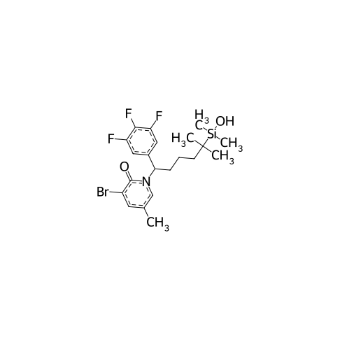 Cc1cc(Br)c(=O)n(C(CCCC(C)(C)[Si](C)(C)O)c2cc(F)c(F)c(F)c2)c1